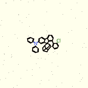 Clc1ccccc1-c1cccc2c1C1(c3cc(N(c4ccccc4)c4ccccc4)ccc3-2)C2CC3CC(C2)CC1C3